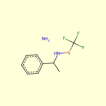 CC(NSC(F)(F)F)c1ccccc1.N